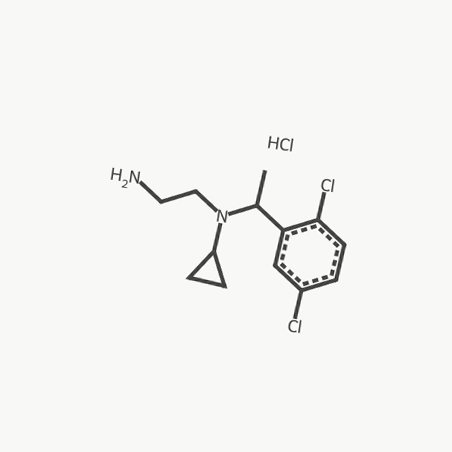 CC(c1cc(Cl)ccc1Cl)N(CCN)C1CC1.Cl